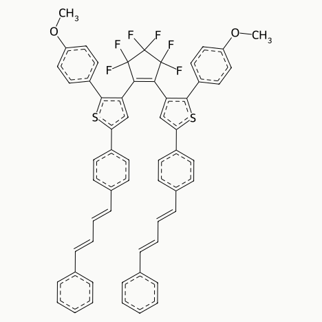 COc1ccc(-c2sc(-c3ccc(C=CC=Cc4ccccc4)cc3)cc2C2=C(c3cc(-c4ccc(C=CC=Cc5ccccc5)cc4)sc3-c3ccc(OC)cc3)C(F)(F)C(F)(F)C2(F)F)cc1